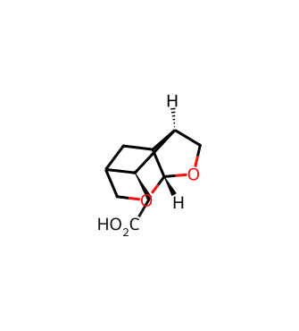 O=C(O)C[C@H]1C2CO[C@H]3OC[C@@H]1C3C2